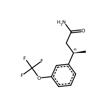 C[C@H](CC(N)=O)c1cccc(OC(F)(F)F)c1